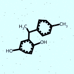 Cc1ccc(C(C)c2cc(O)ccc2O)cc1